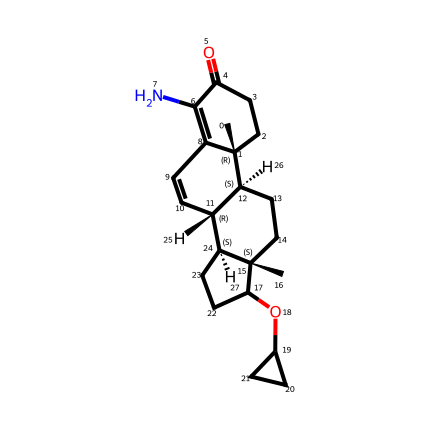 C[C@]12CCC(=O)C(N)=C1C=C[C@@H]1[C@@H]2CC[C@]2(C)C(OC3CC3)CC[C@@H]12